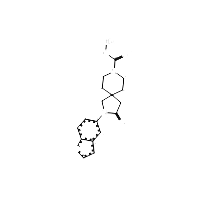 CC(C)(C)OC(=O)N1CCC2(CC1)CC(=O)N(c1ccc3sccc3c1)C2